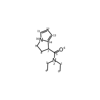 CCN(CC)C(=O)C1CCn2cccc21